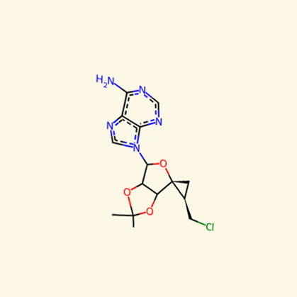 CC1(C)OC2C(n3cnc4c(N)ncnc43)O[C@@]3(C[C@H]3CCl)C2O1